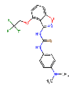 CN(C)c1ccc(NC(=S)Nc2noc3cccc(OCC(F)(F)F)c23)cc1